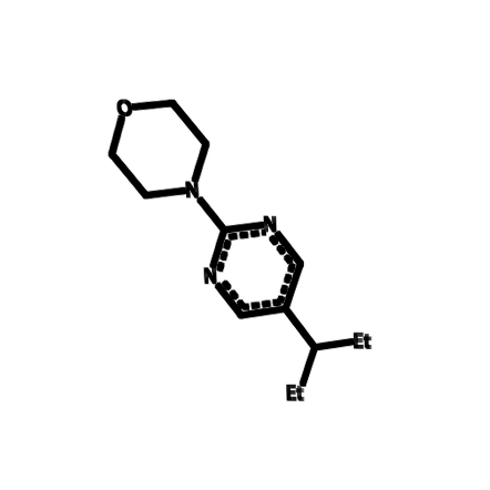 CCC(CC)c1cnc(N2CCOCC2)nc1